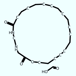 O=C1CCCCCCCCCCCCCCCCCOC(=O)CNCN1.O=CO